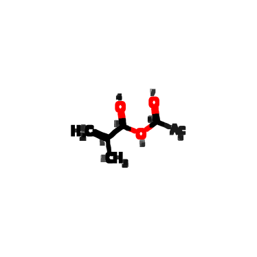 C=C(C)C(=O)OC(=O)C(C)=O